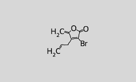 C=CCC1=C(Br)C(=O)OC1=C